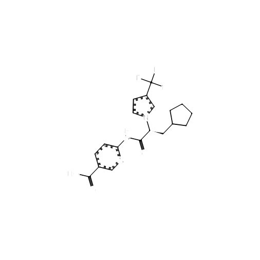 O=C(O)c1ccc(NC(=O)[C@H](CC2CCCC2)n2ccc(C(F)(F)F)c2)nc1